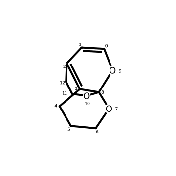 C1=CC2=C3CCCOC3(O1)OCC2